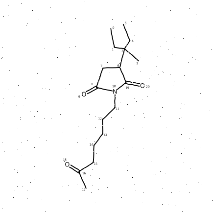 CCC(C)(CC)C1CC(=O)N(CCCCCC(C)=O)C1=O